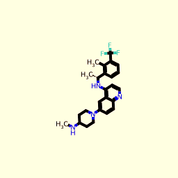 CNC1CCN(c2ccc3nccc(N[C@H](C)c4cccc(C(F)(F)F)c4C)c3c2)CC1